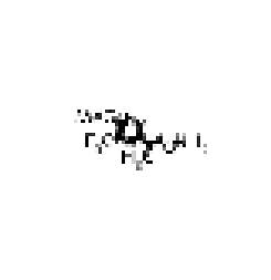 COc1ncc(C(C)CON)cc1C(F)(F)F